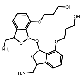 NCC1OB(OB2OC(CN)c3cccc(OCCCO)c32)c2c(OCCCO)cccc21